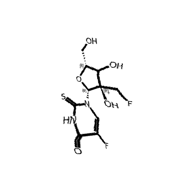 O=c1[nH]c(=S)n([C@@H]2O[C@H](CO)C(O)[C@]2(O)CF)cc1F